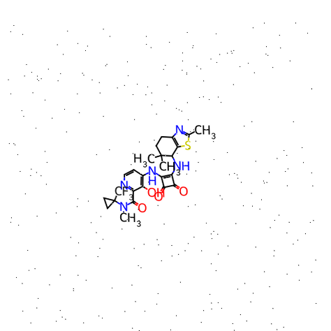 Cc1nc2c(s1)C(Nc1c(Nc3ccnc(C(=O)N(C)C4(C(F)(F)F)CC4)c3O)c(=O)c1=O)C(C)(C)CC2